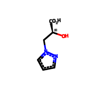 O=C(O)[C@@H](O)Cn1cccn1